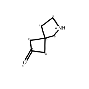 O=C1CC2(CCNC2)C1